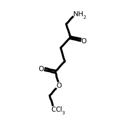 NCC(=O)CCC(=O)OCC(Cl)(Cl)Cl